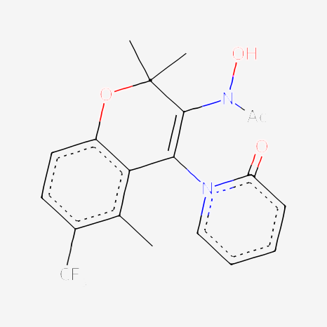 CC(=O)N(O)C1=C(n2ccccc2=O)c2c(ccc(C(F)(F)F)c2C)OC1(C)C